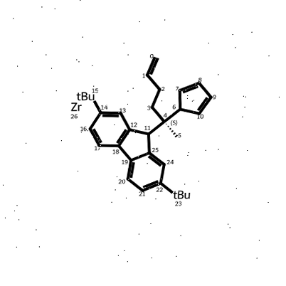 C=CCC[C@@](C)(C1C=CC=C1)C1c2cc(C(C)(C)C)ccc2-c2ccc(C(C)(C)C)cc21.[Zr]